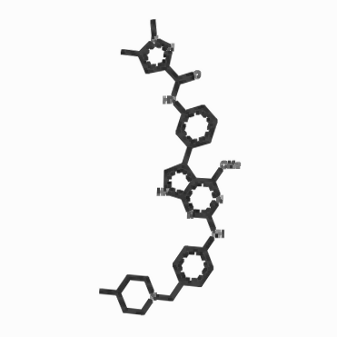 COc1nc(Nc2ccc(CN3CCC(C)CC3)cc2)nc2[nH]cc(-c3cccc(NC(=O)c4cc(C)n(C)n4)c3)c12